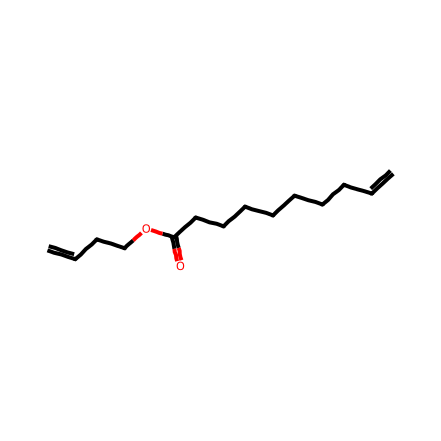 C=CCCCCCCCC(=O)OCCC=C